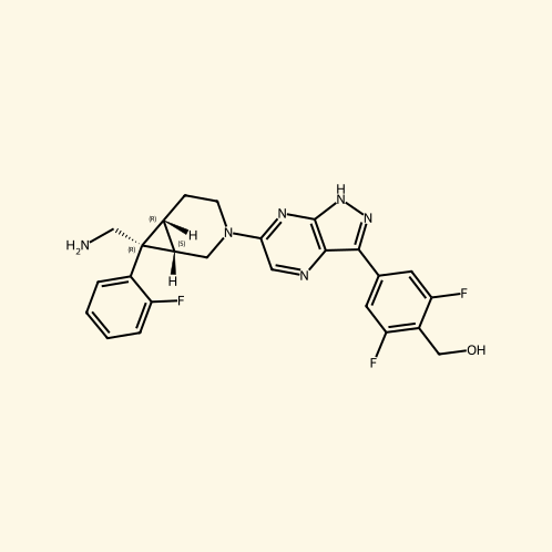 NC[C@]1(c2ccccc2F)[C@@H]2CCN(c3cnc4c(-c5cc(F)c(CO)c(F)c5)n[nH]c4n3)C[C@@H]21